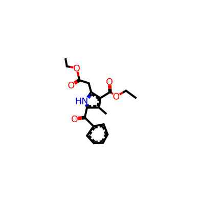 CCOC(=O)Cc1[nH]c(C(=O)c2ccccc2)c(C)c1C(=O)OCC